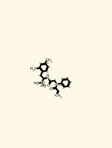 C=CC(=O)N(CC(=O)NC(Cc1ccc(C)cc1C)B(O)O)c1ccccc1